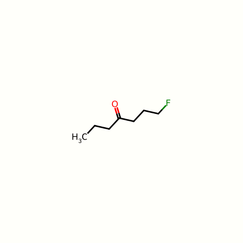 CCCC(=O)CCCF